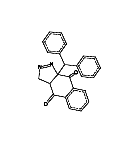 O=C1c2ccccc2C(=O)C2(C(c3ccccc3)c3ccccc3)N=NCC12